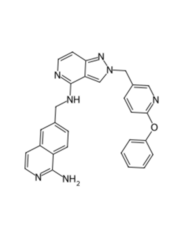 Nc1nccc2cc(CNc3nccc4nn(Cc5ccc(Oc6ccccc6)nc5)cc34)ccc12